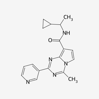 Cc1nc(-c2cccnc2)nc2c(C(=O)NC(C)C3CC3)ccn12